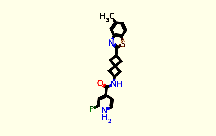 Cc1ccc2sc(C3CC4(CC(NC(=O)C(/C=C\N)=C/CF)C4)C3)nc2c1